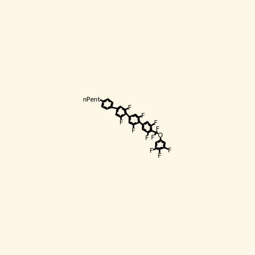 CCCCCc1ccc(-c2cc(F)c(-c3cc(F)c(-c4cc(F)c(C(F)(F)Oc5cc(F)c(F)c(F)c5)c(F)c4)c(F)c3)c(F)c2)cc1